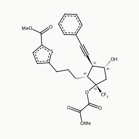 COC(=O)C(=O)O[C@@]1(C(F)(F)F)C[C@@H](O)[C@H](C#Cc2ccccc2)[C@H]1CCCc1ccc(C(=O)OC)s1